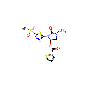 CCCS(=O)(=O)c1nnc(N2C(=O)N(C)CC2OC(=O)c2cccs2)s1